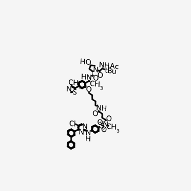 CC(=O)NC(C(=O)N1C[C@H](O)C[C@H]1C(=O)N[C@@H](C)c1ccc(-c2scnc2C)cc1OCCCCCNC(=O)CCC(=O)N(C)S(=O)(=O)c1ccc(Nc2ncc(Cl)c(-c3cccc(-c4ccccc4)c3)n2)cc1)C(C)(C)C